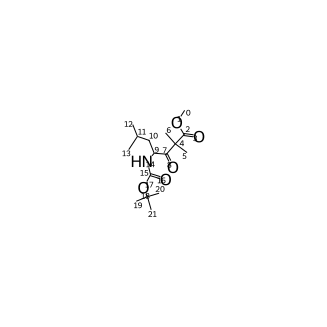 COC(=O)C(C)(C)C(=O)C(CC(C)C)NC(=O)OC(C)(C)C